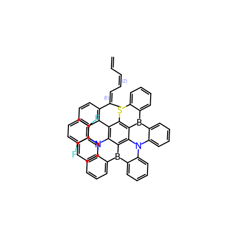 C=C/C=C\C=C(/C)c1cccc(-c2ccccc2)c1-c1c2c3c4c5c1N(c1c(F)cccc1F)c1ccccc1B5c1ccccc1N4c1ccccc1B3c1ccccc1S2